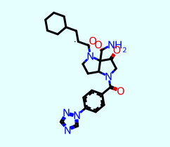 NC(=O)C12C(=O)CN(C(=O)c3ccc(-n4cncn4)cc3)C1CCN2C(=O)[CH]CC1CCCCC1